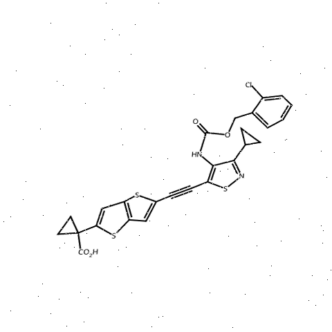 O=C(Nc1c(C2CC2)nsc1C#Cc1cc2sc(C3(C(=O)O)CC3)cc2s1)OCc1ccccc1Cl